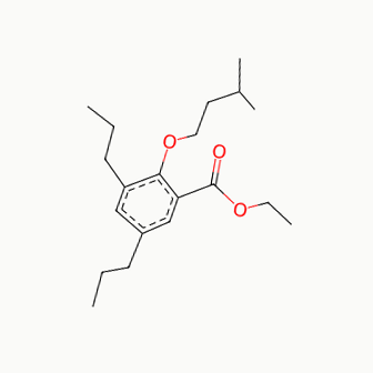 CCCc1cc(CCC)c(OCCC(C)C)c(C(=O)OCC)c1